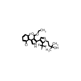 CCOC(=O)c1c(-c2c(F)cccc2Cl)c[nH]c1-c1cnn(CCC(C)(C)O)c1C(F)(F)F